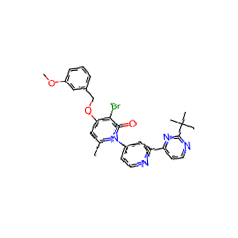 COc1cccc(COc2cc(C)n(-c3ccnc(-c4ccnc(C(C)(C)C)n4)c3)c(=O)c2Br)c1